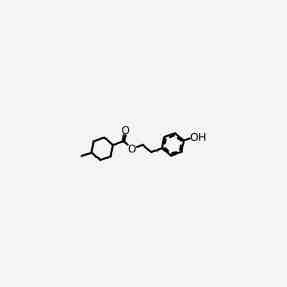 CC1CCC(C(=O)OCCc2ccc(O)cc2)CC1